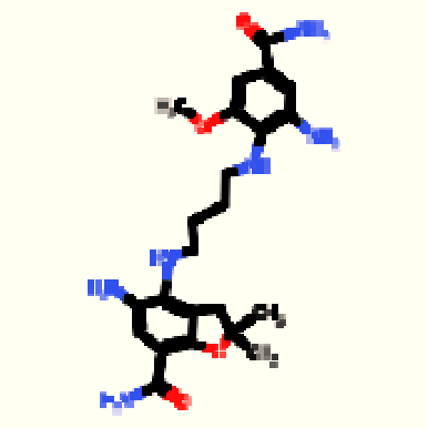 COc1cc(C(N)=O)cc(N)c1NCCCCNc1c(N)cc(C(N)=O)c2c1CC(C)(C)O2